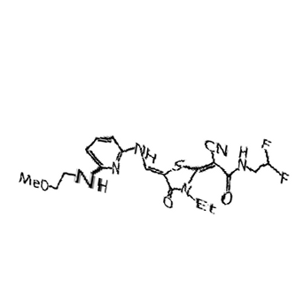 CCn1c(=C(C#N)C(=O)NCC(F)F)sc(=CNc2cccc(NCCOC)n2)c1=O